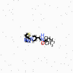 CC(C)(C)C(=O)NCCC1CCN(c2ncnc3ccsc23)CC1